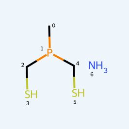 CP(CS)CS.N